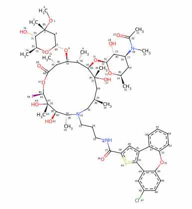 CO[C@]1(C)C[C@H](O[C@H]2[C@H](C)[C@@H](O[C@@H]3O[C@H](C)C[C@H](N(C)C(C)=O)[C@H]3O)[C@](C)(O)C[C@@H](C)CN(CCCNC(=O)c3cc4c(s3)-c3cc(Cl)ccc3Oc3ccccc3-4)[C@H](C)[C@@H](O)[C@](C)(O)[C@@H](I)OC(=O)[C@@H]2C)O[C@@H](C)[C@@H]1O